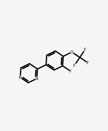 Fc1cc(-c2c[c]ncn2)ccc1OC(F)(F)F